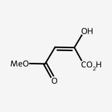 COC(=O)/C=C(/O)C(=O)O